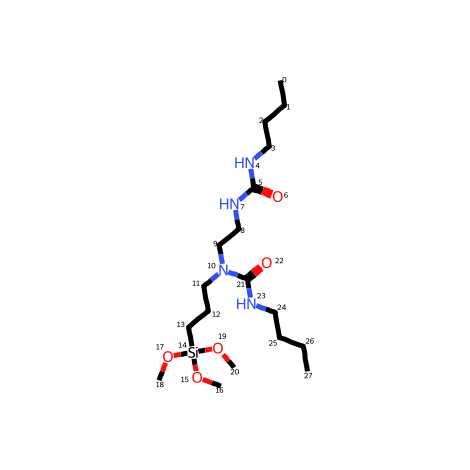 CCCCNC(=O)NCCN(CCC[Si](OC)(OC)OC)C(=O)NCCCC